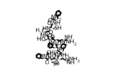 CC(=O)N[C@@H](Cc1ccccc1)C(=O)N[C@@H](CS)C(=O)N[C@@H](CCCNC(=N)N)C(=O)N[C@@H](Cc1ccccc1)C(=O)N[C@@H](Cc1ccccc1)C(=O)N[C@@H](CCCNC(=N)N)C(=O)N[C@@H](CO)C(=O)N[C@@H](C)C(=O)N[C@@H](CS)C(=O)N[C@@H](Cc1ccccc1)C(N)=O